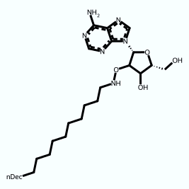 CCCCCCCCCCCCCCCCCCCCNOC1C(O)[C@@H](CO)O[C@H]1n1cnc2c(N)ncnc21